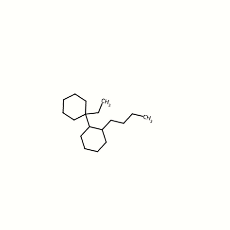 CCCC[C]1CCCCC1C1(CC)CCCCC1